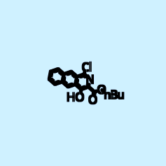 CCCCOC(=O)c1nc(Cl)c2cc3ccccc3cc2c1O